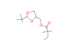 CCC(C)(C)C(=O)OCC1COC(C(C)(C)C)O1